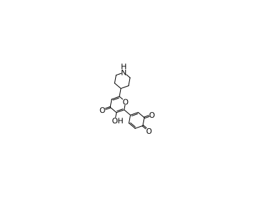 O=C1C=CC(c2oc(C3CCNCC3)cc(=O)c2O)=CC1=O